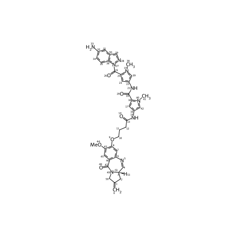 C=C1C[C@H]2C=Nc3cc(OCCCC(=O)Nc4cc(C(=O)Nc5cc(C(=O)n6ncc7cc(N)ccc76)n(C)c5)n(C)c4)c(OC)cc3C(=O)N2C1